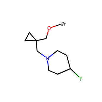 CC(C)OCC1(CN2CCC(F)CC2)CC1